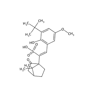 COc1cc(C=C(C23CCC(CC2=O)C3(C)C)S(=O)(=O)O)c(O)c(C(C)(C)C)c1